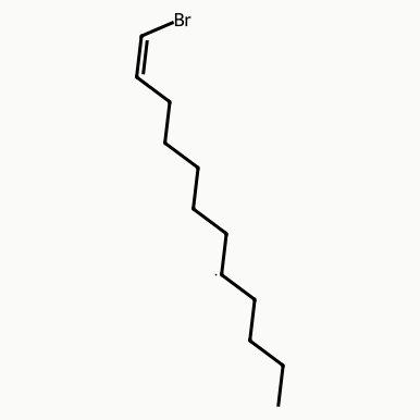 CCCC[CH]CCCCC/C=C\Br